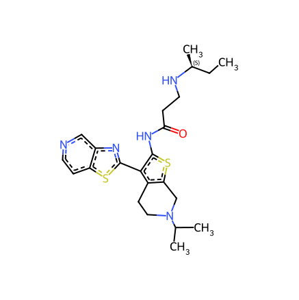 CC[C@H](C)NCCC(=O)Nc1sc2c(c1-c1nc3cnccc3s1)CCN(C(C)C)C2